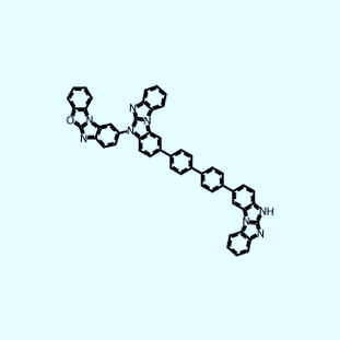 c1ccc2c(c1)nc1[nH]c3ccc(-c4ccc(-c5ccc(-c6ccc7c(c6)n6c8ccccc8nc6n7-c6ccc7nc8oc9ccccc9n8c7c6)cc5)cc4)cc3n12